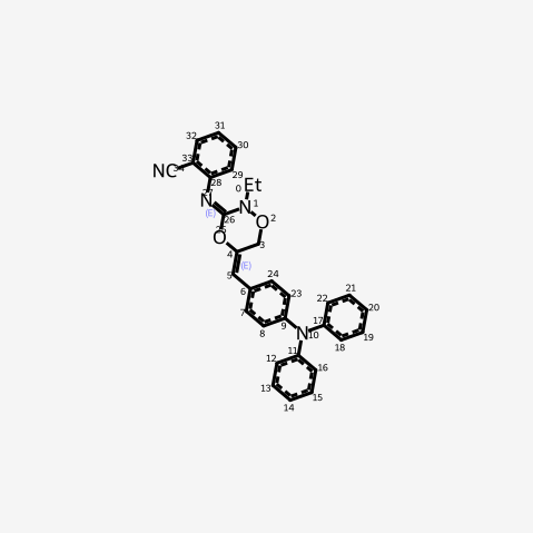 CCN1OC/C(=C\c2ccc(N(c3ccccc3)c3ccccc3)cc2)O/C1=N/c1ccccc1C#N